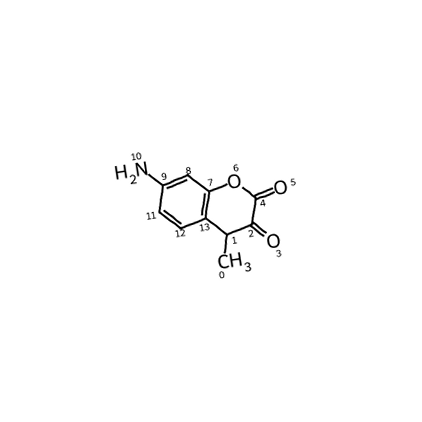 CC1C(=O)C(=O)Oc2cc(N)ccc21